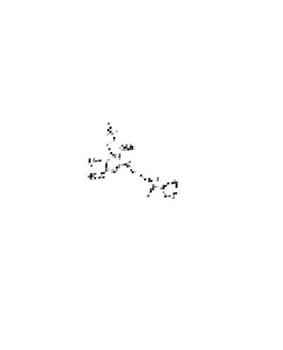 COc1c(OCCCNC(=O)c2ccccc2)cc(C(=O)O)c(N)c1CC[Si](C)(C)C